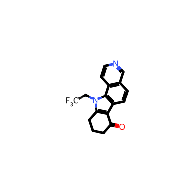 O=C1CCCc2c1c1ccc3cnccc3c1n2CC(F)(F)F